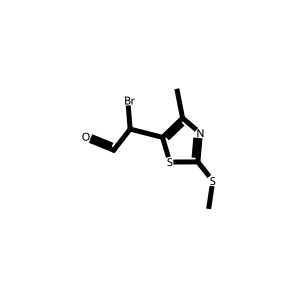 CSc1nc(C)c(C(Br)C=O)s1